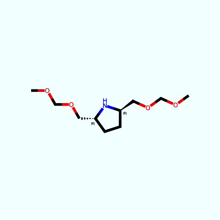 COCOC[C@H]1CC[C@H](COCOC)N1